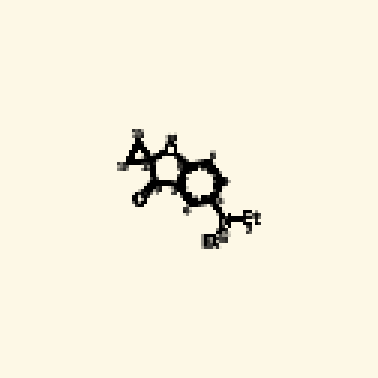 CCN(CC)c1ccc2c(c1)C(=O)C1(CC1)O2